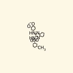 Cc1cccc(S(=O)(=O)Nc2nc3ccccc3nc2Nc2ccc3c(c2)OCCO3)c1